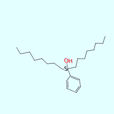 CCCCCCCC[Si](O)(CCCCCCCC)c1ccccc1